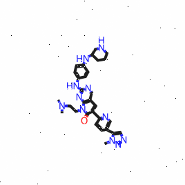 CN(C)CCn1c(=O)c(-c2ccc(-c3cnnn3C)cn2)cc2cnc(Nc3ccc(NC4CCCNC4)cc3)nc21